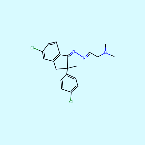 CN(C)CC=NN=C1c2ccc(Cl)cc2CC1(C)c1ccc(Cl)cc1